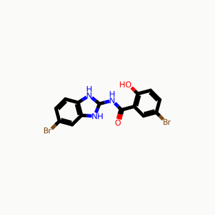 O=C(NC1Nc2ccc(Br)cc2N1)c1cc(Br)ccc1O